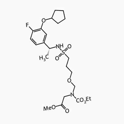 CCOC(=O)N(COCCCS(=O)(=O)N[C@H](C)c1ccc(F)c(OC2CCCC2)c1)CC(=O)OC